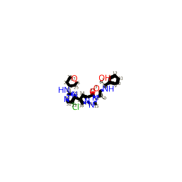 C[C@@H](C(=O)N[C@H](CO)c1ccccc1)n1cnn2cc(-c3nc(NC4CCOCC4)ncc3Cl)cc2c1=O